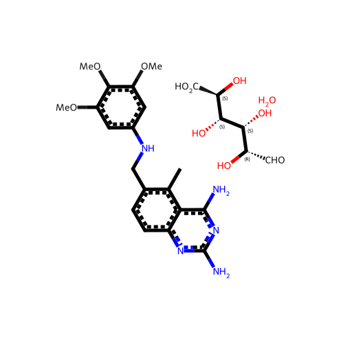 COc1cc(NCc2ccc3nc(N)nc(N)c3c2C)cc(OC)c1OC.O.O=C[C@H](O)[C@@H](O)[C@H](O)[C@H](O)C(=O)O